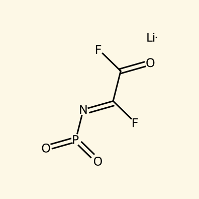 O=C(F)C(F)=NP(=O)=O.[Li]